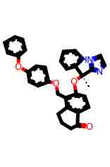 C[C@](Oc1ccc2c(c1COc1ccc(Oc3ccccc3)cc1)CCCC2=O)(c1ccccc1)c1ncc[nH]1